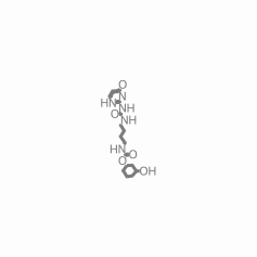 O=C(NCCCCNC(=O)OC1CCCC(O)C1)Nc1nc(=O)cc[nH]1